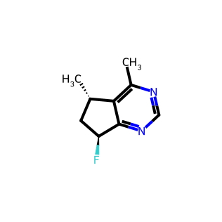 Cc1ncnc2c1[C@@H](C)C[C@@H]2F